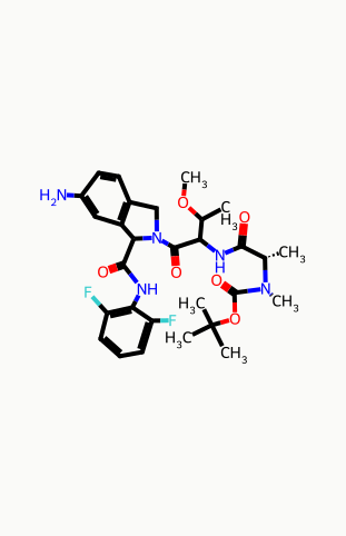 COC(C)C(NC(=O)[C@H](C)N(C)C(=O)OC(C)(C)C)C(=O)N1Cc2ccc(N)cc2C1C(=O)Nc1c(F)cccc1F